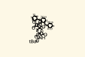 CC(C)(C)OC(=O)NC1C(=O)N2CC(C(=O)OC(c3ccccc3)c3ccccc3)(c3c(OCc4ccccc4)c(=O)c3=O)CS[C@H]12